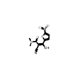 CN(C)C(=O)C(C#N)=C(O)c1ccc([N+](=O)[O-])o1